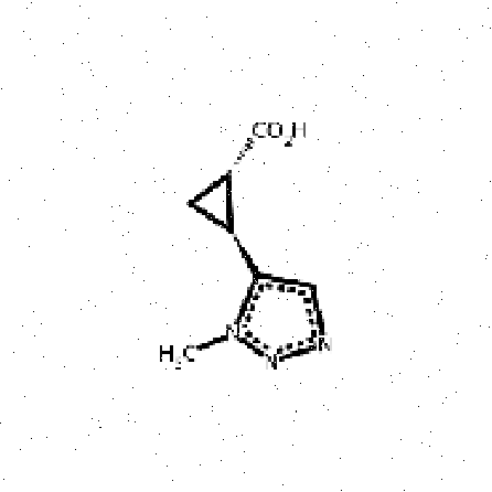 Cn1nncc1[C@H]1C[C@@H]1C(=O)O